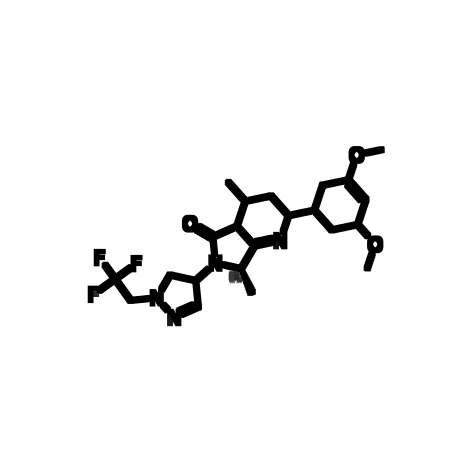 COC1=CC(OC)CC(C2CC(C)C3C(=O)N(C4C=NN(CC(F)(F)F)C4)[C@H](C)C3=N2)C1